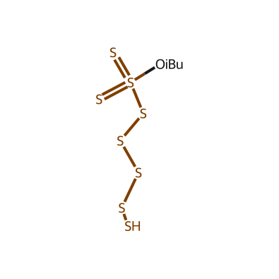 CC(C)COS(=S)(=S)SSSSS